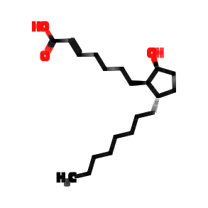 CCCCCCCC[C@H]1CC[C@H](O)[C@@H]1CCCCC=CC(=O)O